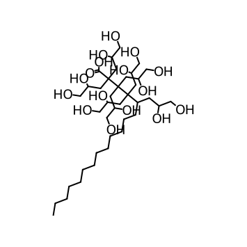 CCCCCCCCCCCCCC(CC(O)CO)C(CC(O)CO)(CC(O)CO)C(CC(O)CO)(CC(O)CO)C(CC(O)CO)(CC(O)CO)C(=O)O